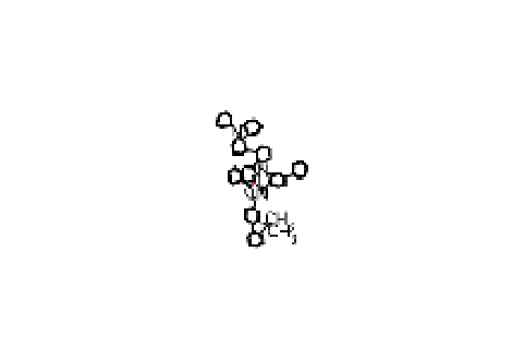 CC1(C)c2ccccc2-c2ccc(-c3nc(-c4ccccc4)nc(-c4ccc(-c5ccccc5)cc4-n4c5ccccc5c5c(-c6cccc7c6c6ccccc6n7-c6ccccc6)cccc54)n3)cc21